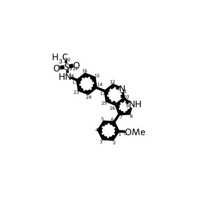 COc1ccccc1-c1c[nH]c2ncc(-c3ccc(NS(C)(=O)=O)cc3)cc12